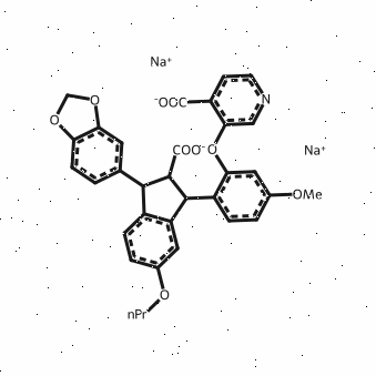 CCCOc1ccc2c(c1)C(c1ccc(OC)cc1Oc1cnccc1C(=O)[O-])C(C(=O)[O-])C2c1ccc2c(c1)OCO2.[Na+].[Na+]